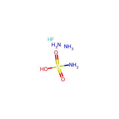 F.N.N.NS(=O)(=O)O